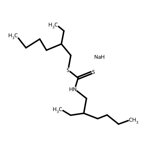 CCCCC(CC)CNC(=S)SCC(CC)CCCC.[NaH]